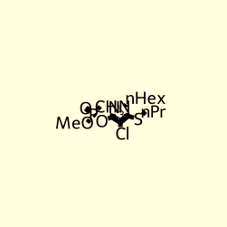 CCCCCCn1nc(OP(C)(=O)OC)c(Cl)c1SCCC